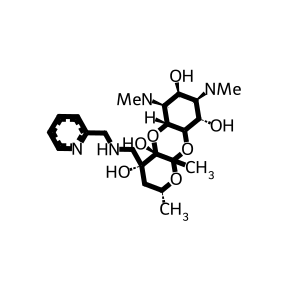 CN[C@@H]1[C@H](O)[C@H](NC)[C@H]2O[C@]3(O)C(C)(OC2[C@H]1O)O[C@H](C)C[C@@]3(O)CNCc1ccccn1